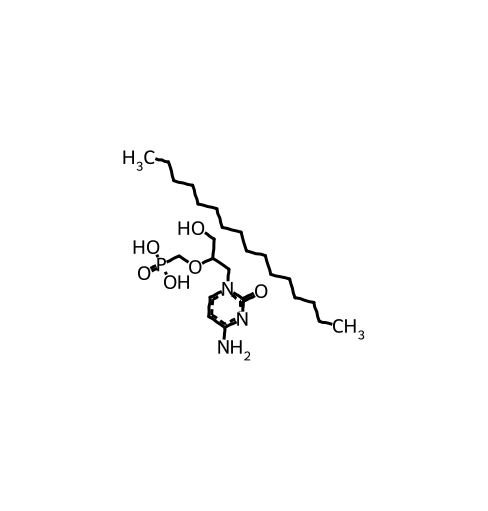 CCCCCCCCCCCCCCCC.Nc1ccn(CC(CO)OCP(=O)(O)O)c(=O)n1